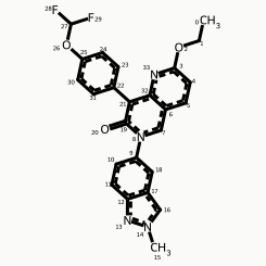 CCOc1ccc2cn(-c3ccc4nn(C)cc4c3)c(=O)c(-c3ccc(OC(F)F)cc3)c2n1